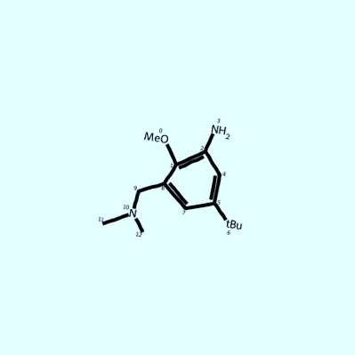 COc1c(N)cc(C(C)(C)C)cc1CN(C)C